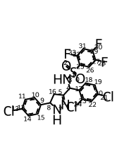 O=S(=O)(NC(C1=NNC(c2ccc(Cl)cc2)C1)c1ccc(Cl)cc1Cl)c1cc(F)c(F)cc1F